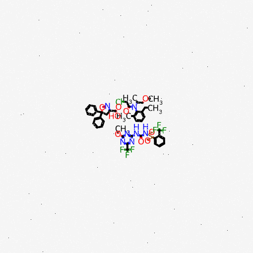 CCc1cccc(C)c1N(C(=O)CCl)C(C)COC.COc1nc(NC(=O)NS(=O)(=O)c2ccccc2C(F)(F)F)nc(C(F)(F)F)n1.O=C(O)C1=NOC(c2ccccc2)(c2ccccc2)C1